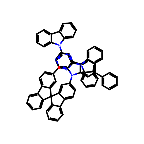 c1ccc(-c2ccc3c4ccccc4n(-c4ccc5c(c4)C4(c6ccccc6-c6ccc(-c7nc(-n8c9ccccc9c9ccccc98)nc(-n8c9ccccc9c9ccccc98)n7)cc64)c4ccccc4-5)c3c2)cc1